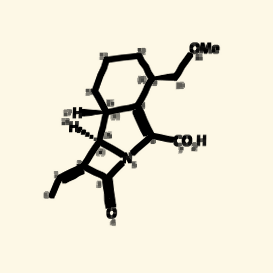 CC=C1C(=O)N2C(C(=O)O)=C3[C@H](COC)CCC[C@H]3[C@H]12